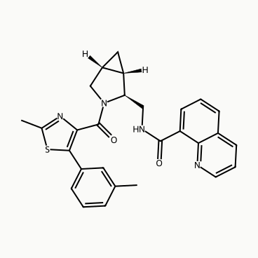 Cc1cccc(-c2sc(C)nc2C(=O)N2C[C@@H]3C[C@@H]3[C@H]2CNC(=O)c2cccc3cccnc23)c1